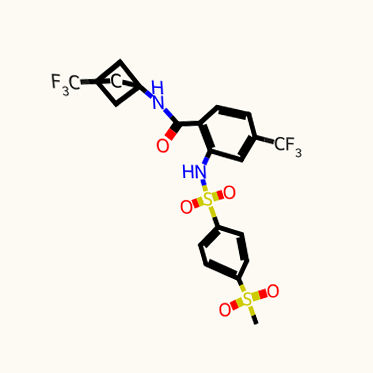 CS(=O)(=O)c1ccc(S(=O)(=O)Nc2cc(C(F)(F)F)ccc2C(=O)NC23CC(C(F)(F)F)(C2)C3)cc1